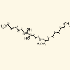 CCCCCCCCC(CC)CCCCCC(O)N(O)CCCCCCC